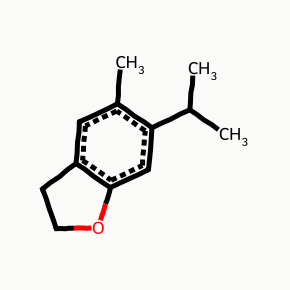 Cc1cc2c(cc1C(C)C)OCC2